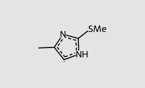 CSc1nc(C)[c][nH]1